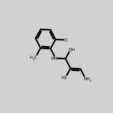 Cc1cccc(Cl)c1NC(O)/C(S)=C/N